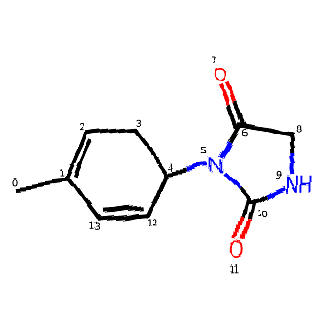 CC1=CCC(N2C(=O)CNC2=O)C=C1